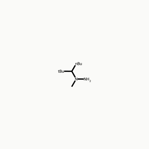 CCCCC(N(C)N)C(C)(C)C